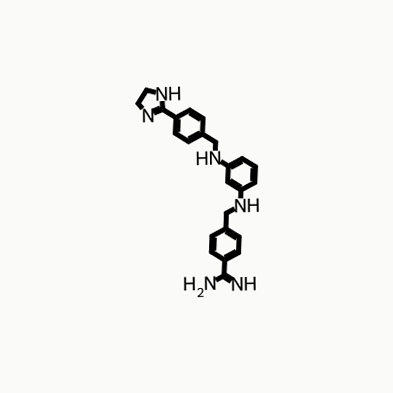 N=C(N)c1ccc(CNc2cccc(NCc3ccc(C4=NCCN4)cc3)c2)cc1